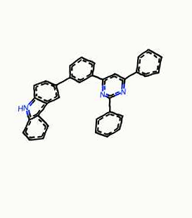 c1ccc(-c2cc(-c3cccc(-c4ccc5[nH]c6ccccc6c5c4)c3)nc(-c3ccccc3)n2)cc1